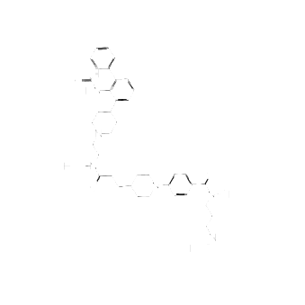 CNCCCN(C)C(=O)c1ccc(N2CCC(CCC(=O)N(C)CCN3CCC(c4cccc(-c5ccccc5)c4NC(=O)O)CC3)CC2)cc1